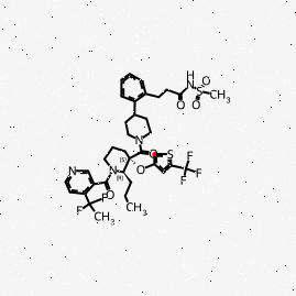 CCC[C@H]1N(C(=O)c2cnccc2C(C)(F)F)CCC[C@@]1(Oc1csc(C(F)(F)F)c1)C(=O)N1CCC(c2ccccc2CCC(=O)NS(C)(=O)=O)CC1